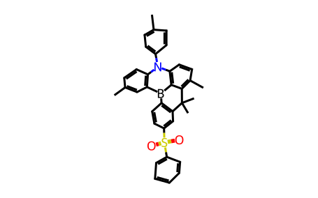 Cc1ccc(N2c3ccc(C)cc3B3c4ccc(S(=O)(=O)c5ccccc5)cc4C(C)(C)c4c(C)ccc2c43)cc1